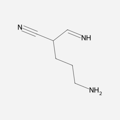 N#CC(C=N)CCCN